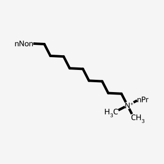 CCCCCCCCCCCCCCCCCC[N+](C)(C)CCC